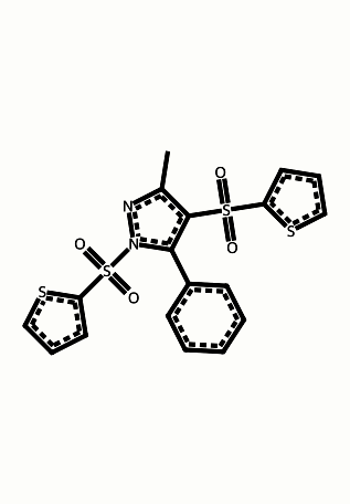 Cc1nn(S(=O)(=O)c2cccs2)c(-c2ccccc2)c1S(=O)(=O)c1cccs1